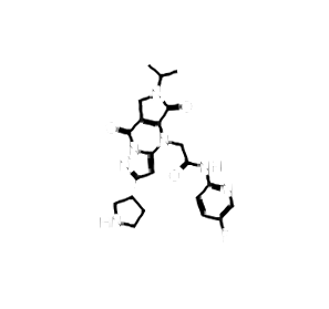 CC(C)N1Cc2c(n(CC(=O)Nc3ccc(F)cn3)c3cc([C@@H]4CCNC4)nn3c2=O)C1=O